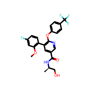 COc1cc(F)ccc1-c1cc(C(=O)N[C@H](C)CO)cnc1Oc1ccc(C(F)(F)F)cc1